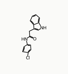 O=C(Cc1c[nH]c2ccccc12)Nc1ccc(Cl)cc1